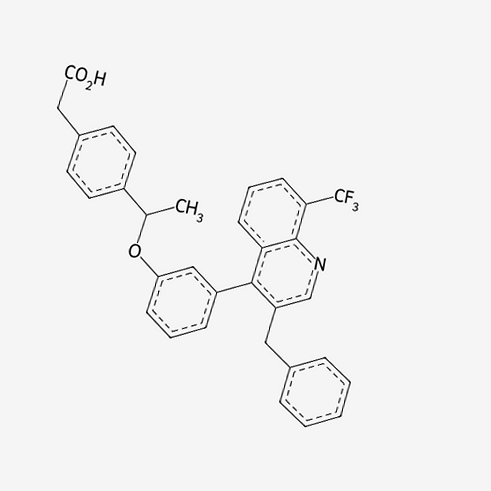 CC(Oc1cccc(-c2c(Cc3ccccc3)cnc3c(C(F)(F)F)cccc23)c1)c1ccc(CC(=O)O)cc1